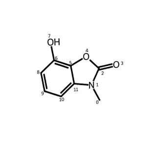 Cn1c(=O)oc2c(O)cccc21